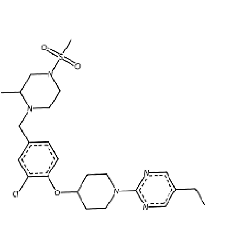 CCc1cnc(N2CCC(Oc3ccc(CN4CCN(S(C)(=O)=O)CC4C)cc3Cl)CC2)nc1